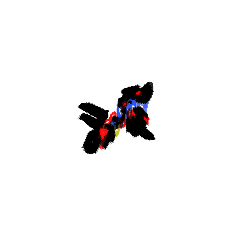 O=C(OC(c1ccccc1)c1ccccc1)C1=C(COc2ccccc2)CS[C@@H]2C(NC(=O)/C(=N/OC(c3ccccc3)(c3ccccc3)c3ccccc3)c3csc(NC(c4ccccc4)(c4ccccc4)c4ccccc4)n3)C(=O)N12